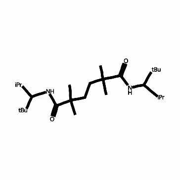 CC(C)C(NC(=O)C(C)(C)CCC(C)(C)C(=O)NC(C(C)C)C(C)(C)C)C(C)(C)C